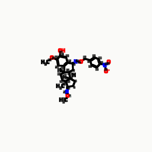 CON=C1CC[C@H]2[C@@H]3CC(=NOCc4ccc([N+](=O)[O-])cc4)c4cc(O)c(OC)cc4[C@H]3CC[C@]12C